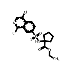 CCOC(=O)C1(NS(=O)(=O)c2ccc3c(Cl)cnc(Cl)c3c2)CCCC1